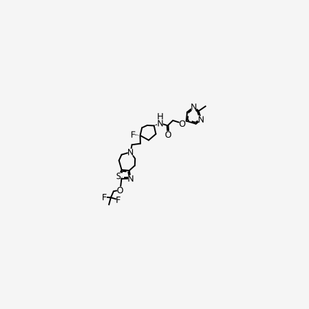 Cc1ncc(OCC(=O)N[C@H]2CC[C@](F)(CCN3CCc4nc(OCC(C)(F)F)sc4CC3)CC2)cn1